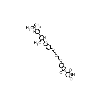 Cc1cc(-c2ccc(N(C)C)nc2)cnc1-c1nc2ccc(OCCOCCOc3ccc4c(c3)CN(C3CCC(=O)NC3=O)C4=O)cc2s1